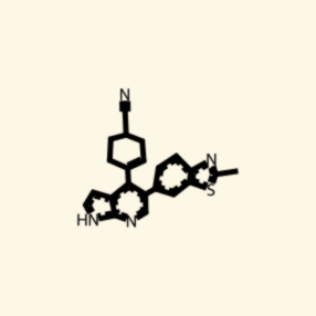 Cc1nc2ccc(-c3cnc4[nH]ccc4c3C3=CCC(C#N)CC3)cc2s1